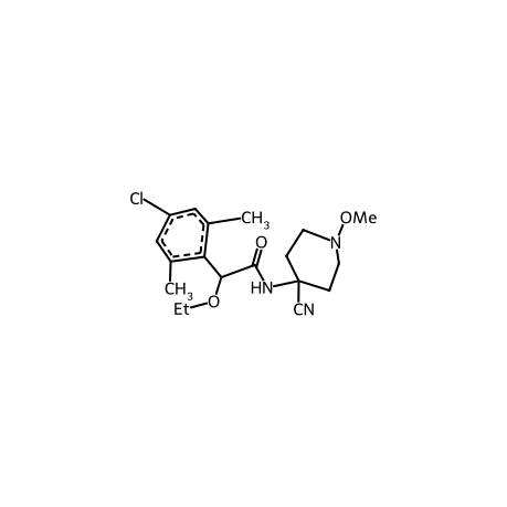 CCOC(C(=O)NC1(C#N)CCN(OC)CC1)c1c(C)cc(Cl)cc1C